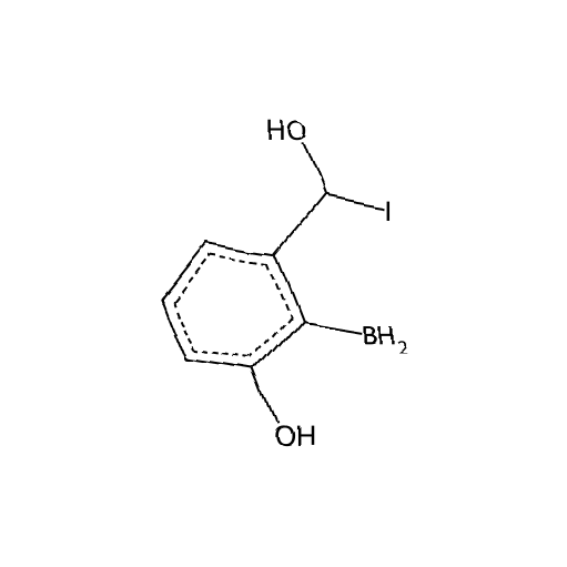 Bc1c(O)cccc1C(O)I